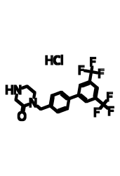 Cl.O=C1CNCCN1Cc1ccc(-c2cc(C(F)(F)F)cc(C(F)(F)F)c2)cc1